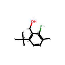 Cc1ccc(C(C)(C)C)c(CO)c1F